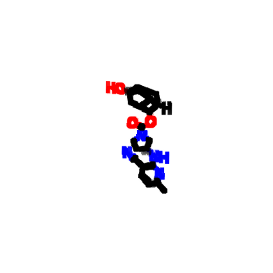 Cc1ccc(C#N)c(N[C@@H]2CCN(C(=O)OC3C4CC5C[C@H]3C[C@@](O)(C5)C4)C2)n1